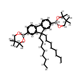 CCCCCCCCC1(CCCCCCCC)c2cc(B3OCC(C)(C)C(C)(C)O3)ccc2-c2ccc(B3OCC(C)(C)C(C)(C)O3)cc21